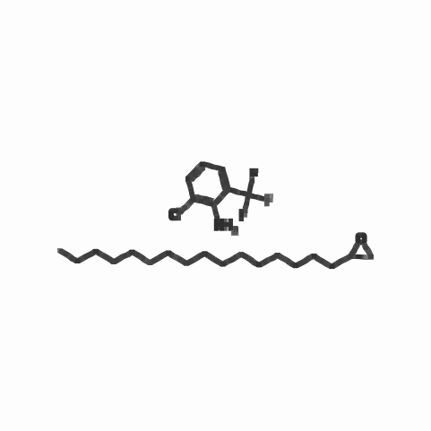 CCCCCCCCCCCCCCCCC1CO1.Nc1c(Cl)cccc1C(F)(F)F